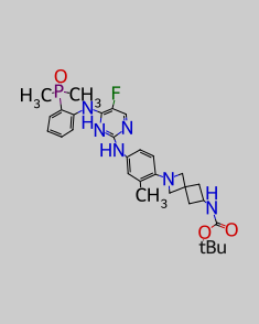 Cc1cc(Nc2ncc(F)c(Nc3ccccc3P(C)(C)=O)n2)ccc1N1CC2(CC(NC(=O)OC(C)(C)C)C2)C1